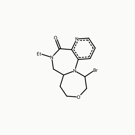 CCN1CC2CCOCC(Br)N2c2cccnc2C1=O